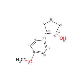 COc1ccc([C@@H]2CCC[C@@H]2O)cc1